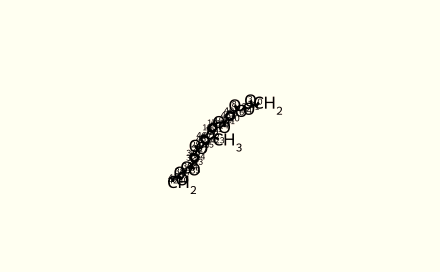 C=CC(=O)OCOC(=O)c1ccc(C(=O)Oc2ccc3c(c2)C(C)c2cc(OC(=O)c4ccc(C(=O)OCOC(=O)C=C)cc4)ccc2-3)cc1